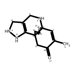 CC1=CC23NCC4=C(NNC4)C2(C=CS3)CC1=O